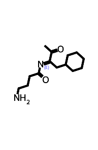 CC(=O)/C(CC1CCCCC1)=N/C(=O)CCCN